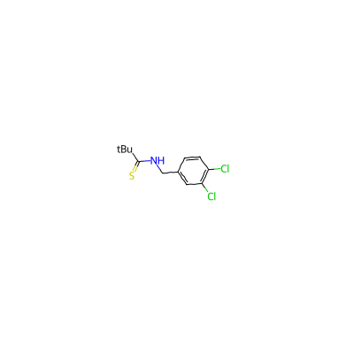 CC(C)(C)C(=S)NCc1ccc(Cl)c(Cl)c1